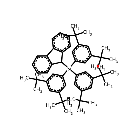 CC(C)(C)c1cc(C(C)(C)C)cc([Si]([C]2c3ccccc3-c3ccccc32)(c2cc(C(C)(C)C)cc(C(C)(C)C)c2)c2cc(C(C)(C)C)cc(C(C)(C)C)c2)c1